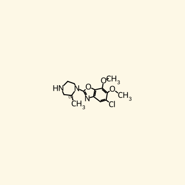 COc1c(Cl)cc2nc(N3CCNC[C@@H]3C)oc2c1OC